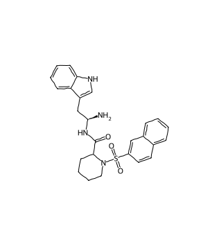 N[C@H](Cc1c[nH]c2ccccc12)NC(=O)C1CCCCN1S(=O)(=O)c1ccc2ccccc2c1